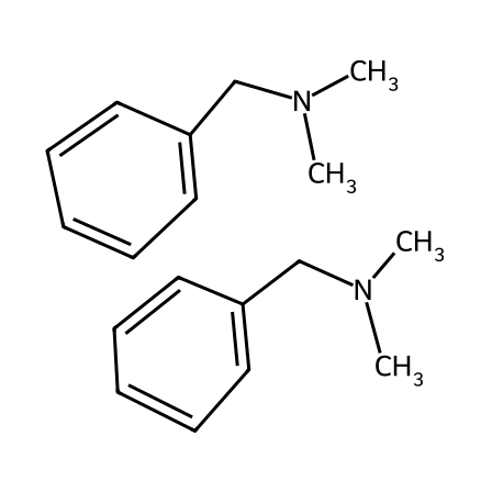 CN(C)Cc1ccccc1.CN(C)Cc1ccccc1